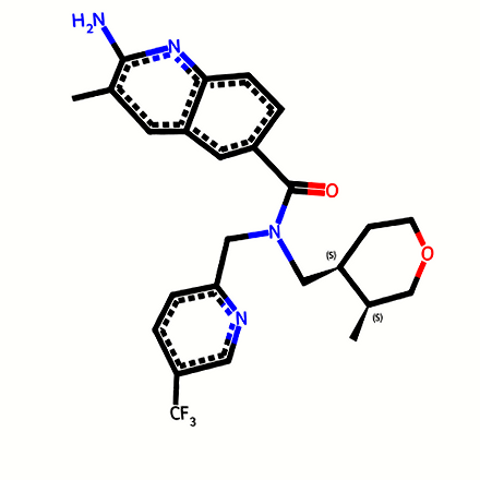 Cc1cc2cc(C(=O)N(Cc3ccc(C(F)(F)F)cn3)C[C@H]3CCOC[C@H]3C)ccc2nc1N